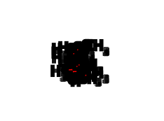 COc1ccc(C2O[C@@H](C(=O)O[C@@H]3C(C)=C4[C@@H](OC(C)=O)C(=O)[C@@]5(C)[C@H]([C@H](OC(=O)c6ccccc6)[C@@]6(OC(=O)O[C@@H]36)C4(C)C)[C@]3(OC(C)=O)CO[C@@H]3C[C@@H]5O)[C@H](CC(C)C)N2C(=O)OC(C)(C)C)c(OC)c1